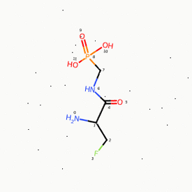 NC(CF)C(=O)NCP(=O)(O)O